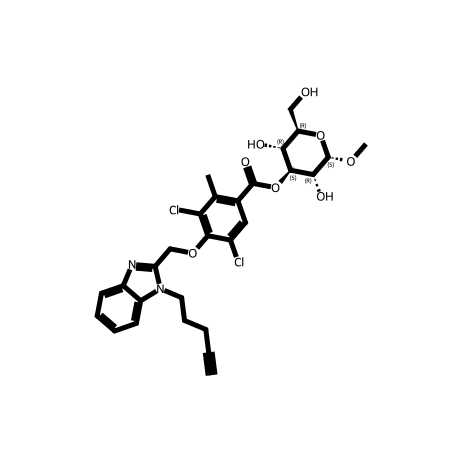 C#CCCCn1c(COc2c(Cl)cc(C(=O)O[C@@H]3[C@@H](O)[C@@H](OC)O[C@H](CO)[C@H]3O)c(C)c2Cl)nc2ccccc21